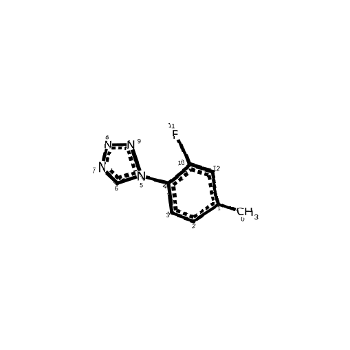 Cc1c[c]c(-n2cnnn2)c(F)c1